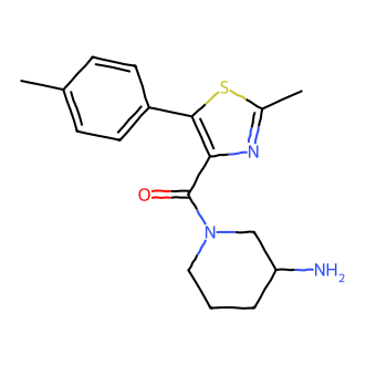 Cc1ccc(-c2sc(C)nc2C(=O)N2CCCC(N)C2)cc1